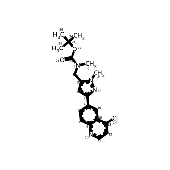 CN(Cc1cc(-c2ccc3nccc(Cl)c3c2)nn1C)C(=O)OC(C)(C)C